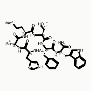 CC[C@H](C)[C@H](NC(=O)[C@H](Cc1c[nH]cn1)NC(C)=O)C(=O)N[C@@H](CCSC)C(=O)N[C@@H](CC(=O)O)C(=O)N[C@@H](Cc1ccccc1)C(=O)N[C@@H](Cc1c[nH]c2ccccc12)C(N)=O